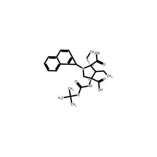 CCC1[C@](CC)(C(=O)O)N(C2c3ccc4ccccc4c32)C[C@@]1(NC(=O)OC(C)(C)C)C(=O)O